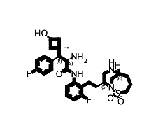 C[C@]1([C@H](c2ccc(F)cc2)[C@H](N)C(=O)Nc2cccc(F)c2CC[C@H]2CN[C@@H]3CCCS(=O)(=O)N2C3)C[C@@H](O)C1